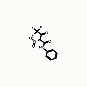 O=C(Nc1ccccc1)C(C(=O)C(F)(F)F)[N+](=O)[O-]